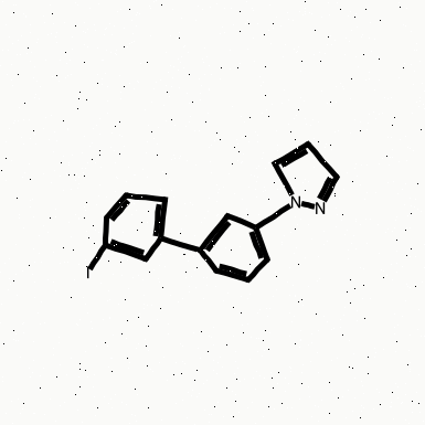 Ic1cccc(-c2cccc(-n3cccn3)c2)c1